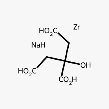 O=C(O)CC(O)(CC(=O)O)C(=O)O.[NaH].[Zr]